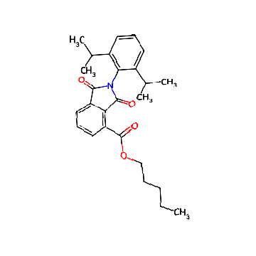 CCCCCOC(=O)c1cccc2c1C(=O)N(c1c(C(C)C)cccc1C(C)C)C2=O